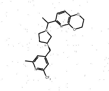 Cc1cc(C[C@H]2CCN(C(C)c3ccc4c(n3)OCCO4)C2)cc(C(F)(F)F)n1